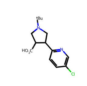 CC(C)(C)N1CC(C(=O)O)C(c2ccc(Cl)cn2)C1